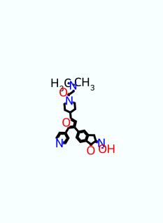 CN(C)CC(=O)N1CCC(c2cc(-c3ccc4c(c3)CC(=NO)C4=O)c(-c3ccncc3)o2)CC1